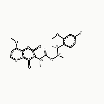 COc1cc(F)ccc1[C@@H](C)[C@@H](C)OC(=O)[C@H](C)n1c(=O)oc2c(OC)ccnc2c1=O